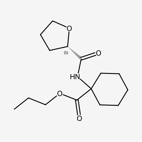 CCCOC(=O)C1(NC(=O)[C@@H]2CCCO2)CCCCC1